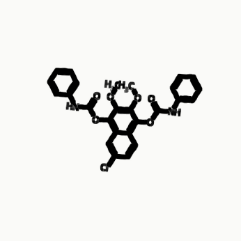 COc1c(OC)c(OC(=O)Nc2ccccc2)c2cc(Cl)ccc2c1OC(=O)Nc1ccccc1